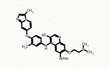 CC(=O)Nc1cc2c(Nc3ccc(Oc4ccn5c(C)cnc5c4)c(C)c3)c(C#N)cnc2cc1OCCN(C)C